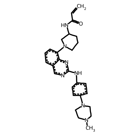 C=CC(=O)NC1CCCN(c2cccc3cnc(Nc4ccc(N5CCN(C)CC5)cc4)nc23)C1